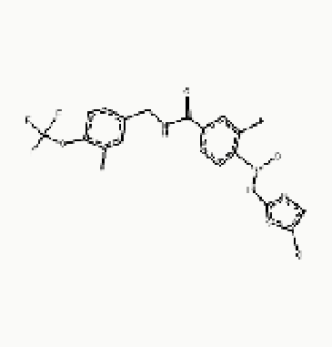 O=C(NCc1ccc(OC(F)(F)F)c(F)c1)c1ccc([S+]([O-])Nc2ncc(Cl)s2)c(F)c1